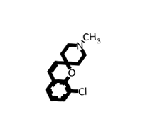 CN1CCC2(C=Cc3cccc(Cl)c3O2)CC1